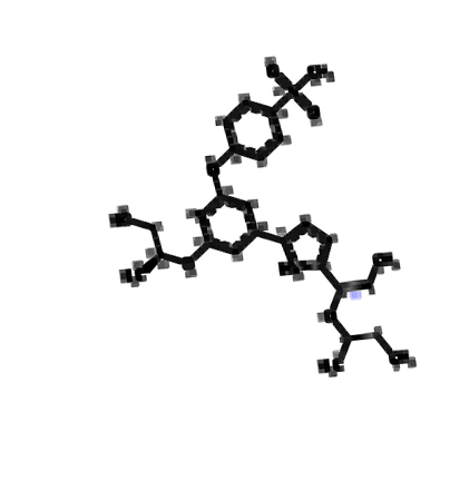 C/C=C(/OC(C)CC)c1ccc(-c2cc(Oc3ccc(S(C)(=O)=O)cc3)nc(O[C@@H](C)CO)c2)[nH]1